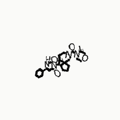 C[C@H]1COCCN1C(=O)N1CC[C@@](O)(Cn2cnc(-c3ccccc3)cc2=O)C2(CCCC2)C1